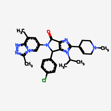 Cc1cc(N2C(=O)c3nc(C4=CCN(C)CC4)n(C(C)C)c3C2c2ccc(Cl)cc2)cn2c(C)nnc12